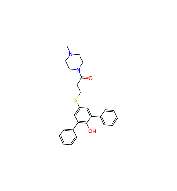 CN1CCN(C(=O)CCSc2cc(-c3ccccc3)c(O)c(-c3ccccc3)c2)CC1